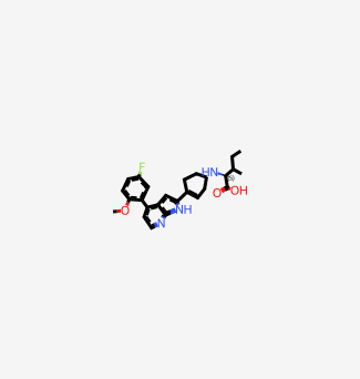 CCC(C)[C@H](NC1CC=C(c2cc3c(-c4cc(F)ccc4OC)ccnc3[nH]2)CC1)C(=O)O